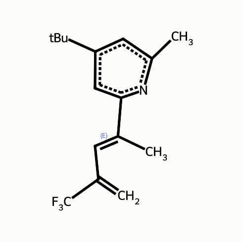 C=C(/C=C(\C)c1cc(C(C)(C)C)cc(C)n1)C(F)(F)F